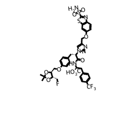 CC1(C)O[C@@H](CF)[C@H](COc2ccc(C[C@@H](C(=O)N[C@@H](Cc3ccc(C(F)(F)F)cc3)C(=O)O)n3cc(COc4ccc5nc(S(N)(=O)=O)sc5c4)nn3)cc2)O1